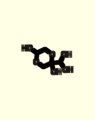 OC1COC(O)(C(O)O)CO1